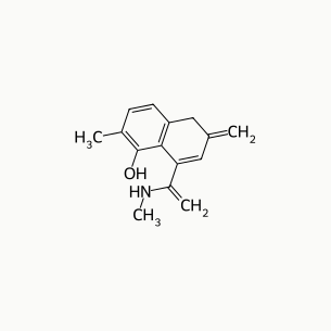 C=C1C=C(C(=C)NC)c2c(ccc(C)c2O)C1